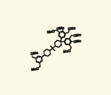 COCc1cc(COC)cc(C2CCC(C(C)(C)C3CCC(c4cc(COC)c(OC)c(COC)c4)(c4cc(COC)c(OC)c(COC)c4)CC3)CC2)c1